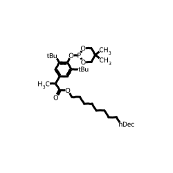 CCCCCCCCCCCCCCCCCCOC(=O)C(C)c1cc(C(C)(C)C)c(OP2OCC(C)(C)CO2)c(C(C)(C)C)c1